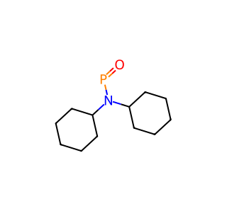 O=PN(C1CCCCC1)C1CCCCC1